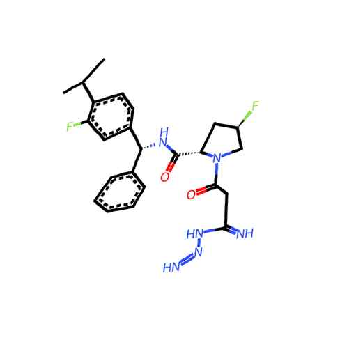 CC(C)c1ccc([C@H](NC(=O)[C@@H]2C[C@@H](F)CN2C(=O)CC(=N)NN=N)c2ccccc2)cc1F